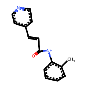 Cc1ccccc1NC(=O)/C=C/c1ccncc1